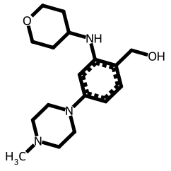 CN1CCN(c2ccc(CO)c(NC3CCOCC3)c2)CC1